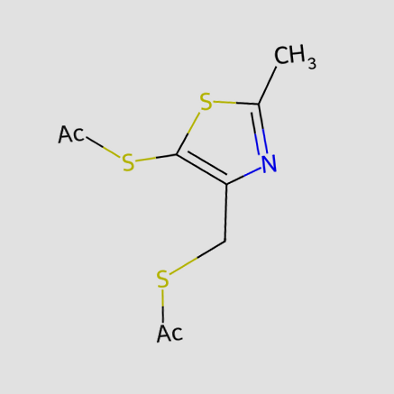 CC(=O)SCc1nc(C)sc1SC(C)=O